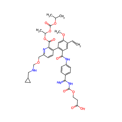 C=Cc1cc(C(=O)Nc2ccc(C(=N)NC(=O)OCCC(=O)O)cc2)c(-c2ccc(COCNCC3CC3)nc2C(=O)OC(C)OC(=O)OC(C)C)cc1OC